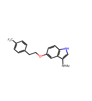 CC(=O)Nc1c[nH]c2ccc(OCCc3ccc(C(F)(F)F)cc3)cc12